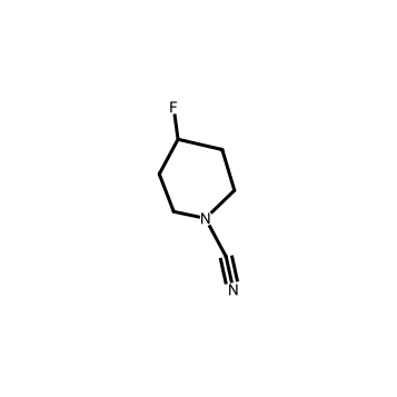 N#CN1CCC(F)CC1